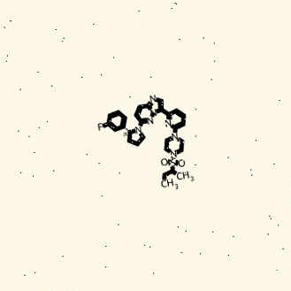 CCC(C)S(=O)(=O)N1CCN(c2cccc(-c3cnc4ccc(N5CCC[C@@H]5c5cccc(F)c5)nn34)n2)CC1